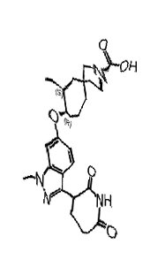 C[C@H]1CC2(CC[C@H]1Oc1ccc3c(C4CCC(=O)NC4=O)nn(C)c3c1)CN(C(=O)O)C2